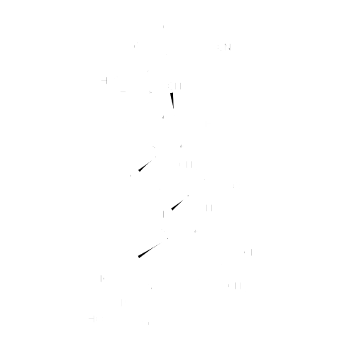 CC1(C)CC[C@]2(COP(=O)(O)O)CC[C@]3(C)[C@H](C(=O)C[C@@H]4[C@@]5(C)C=C(C#N)C(=O)C(C)(C)[C@@H]5CC[C@]43C)[C@H]2C1